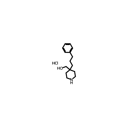 Cl.OCC1(CCCc2ccccc2)CCNCC1